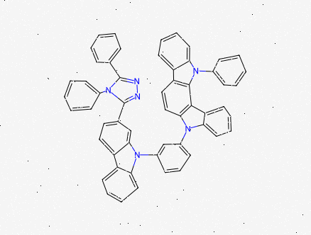 c1ccc(-c2nnc(-c3ccc4c5ccccc5n(-c5cccc(-n6c7ccccc7c7c6ccc6c8ccccc8n(-c8ccccc8)c67)c5)c4c3)n2-c2ccccc2)cc1